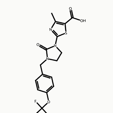 Cc1nc(N2CCN(Cc3ccc(OC(F)(F)F)cc3)C2=O)sc1C(=O)O